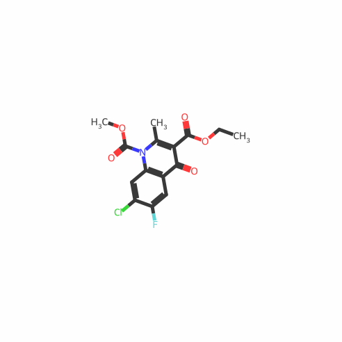 CCOC(=O)c1c(C)n(C(=O)OC)c2cc(Cl)c(F)cc2c1=O